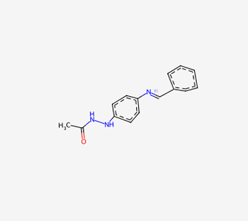 CC(=O)NNc1ccc(/N=C/c2ccccc2)cc1